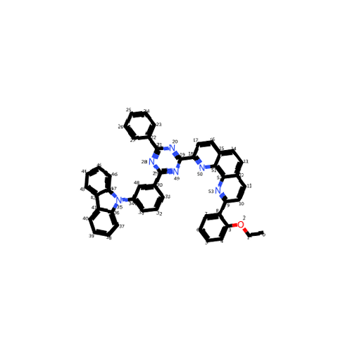 CCOc1ccccc1-c1ccc2ccc3ccc(-c4nc(-c5ccccc5)nc(-c5cccc(-n6c7ccccc7c7ccccc76)c5)n4)nc3c2n1